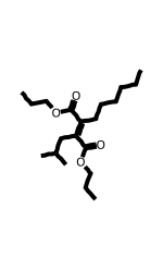 CCCCCCC(C(=O)OCCC)=C(CC(C)C)C(=O)OCCC